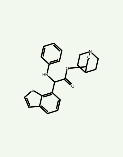 O=C(OC1CN2CCC1CC2)C(Nc1ccccc1)c1cccc2ccsc12